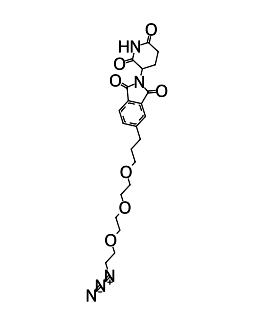 [N-]=[N+]=NCCOCCOCCOCCCc1ccc2c(c1)C(=O)N(C1CCC(=O)NC1=O)C2=O